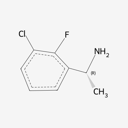 C[C@@H](N)c1cccc(Cl)c1F